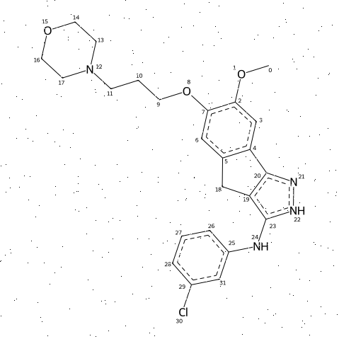 COc1cc2c(cc1OCCCN1CCOCC1)Cc1c-2n[nH]c1Nc1cccc(Cl)c1